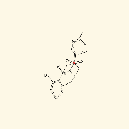 Cc1ccc(S(=O)(=O)N2C3CC(=O)C[C@H]2c2c(Br)cccc2C3)cn1